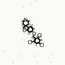 Clc1cc(Cl)c(COc2ccc3c(c2)OCC32CC[N]CC2)c(Cl)c1